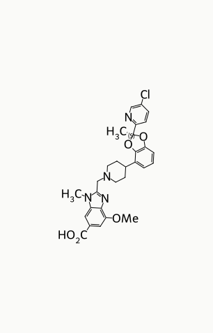 COc1cc(C(=O)O)cc2c1nc(CN1CCC(c3cccc4c3O[C@@](C)(c3ccc(Cl)cn3)O4)CC1)n2C